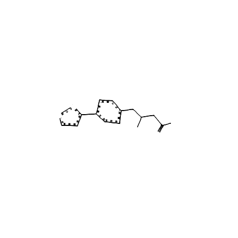 O=C(O)CC(O)Cc1ccc(-c2ccsn2)cc1